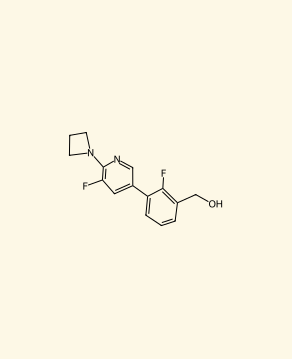 OCc1cccc(-c2cnc(N3CCC3)c(F)c2)c1F